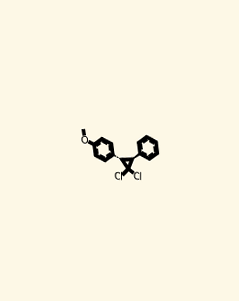 COc1ccc([C@@H]2[C@@H](c3ccccc3)C2(Cl)Cl)cc1